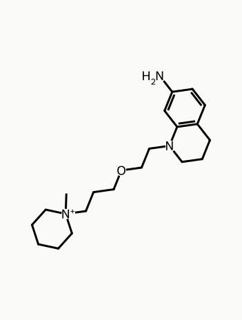 C[N+]1(CCCOCCN2CCCc3ccc(N)cc32)CCCCC1